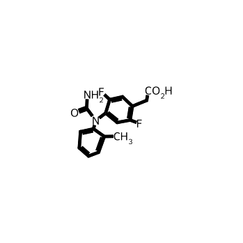 Cc1ccccc1N(C(N)=O)c1cc(F)c(CC(=O)O)cc1F